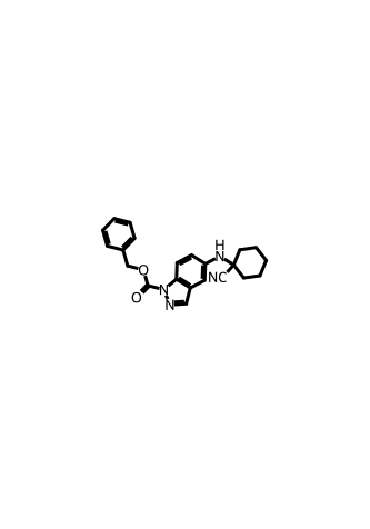 N#CC1(Nc2ccc3c(cnn3C(=O)OCc3ccccc3)c2)CCCCC1